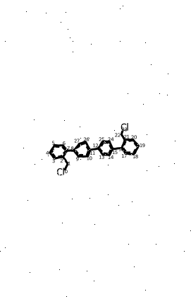 ClCc1ccccc1-c1ccc(-c2ccc(-c3ccccc3CCl)cc2)cc1